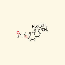 CC(C)(C)c1ccc2ccc(OCC3CO3)cc2c1